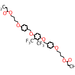 C=CC(=O)OCCCCOc1ccc(COc2ccc(OCc3ccc(OCCCCOC(=O)C=C)cc3)c(C(F)(F)F)c2C(F)(F)F)cc1